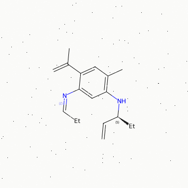 C=C[C@H](CC)Nc1cc(/N=C\CC)c(C(=C)C)cc1C